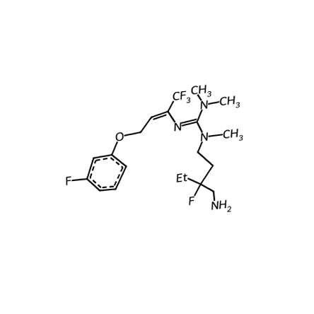 CCC(F)(CN)CCN(C)/C(=N/C(=C\COc1cccc(F)c1)C(F)(F)F)N(C)C